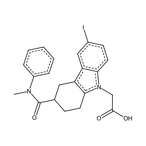 CN(C(=O)C1CCc2c(c3cc(I)ccc3n2CC(=O)O)C1)c1ccccc1